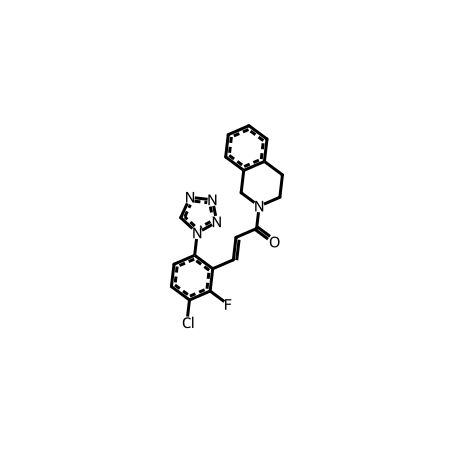 O=C(/C=C/c1c(-n2cnnn2)ccc(Cl)c1F)N1CCc2ccccc2C1